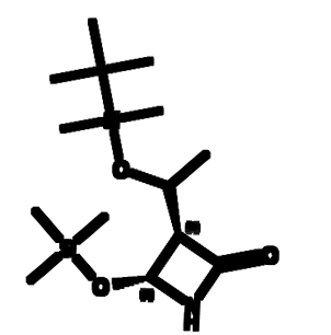 CC(O[Si](C)(C)C(C)(C)C)[C@H]1C(=O)N[C@@H]1O[Si](C)(C)C